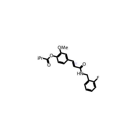 COc1cc(/C=C/C(=O)NCc2ccccc2F)ccc1OC(=O)C(C)C